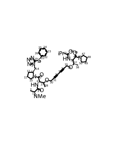 CN[C@@H](C)C(=O)N[C@H](C(=O)N1CCC[C@H]1Cn1nnnc1Sc1ccccc1)C(C)OCC#CC#CCO[C@H](C)[C@H](NC(=O)C(C)C)C(=O)N1CCCC1